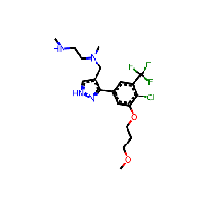 CNCCN(C)Cc1c[nH]nc1-c1cc(OCCCOC)c(Cl)c(C(F)(F)F)c1